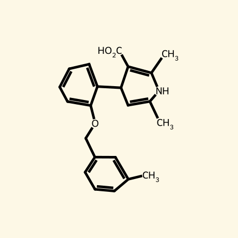 CC1=CC(c2ccccc2OCc2cccc(C)c2)C(C(=O)O)=C(C)N1